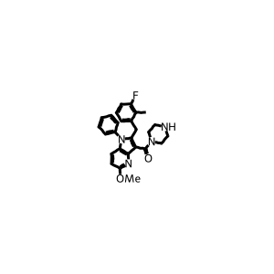 COc1ccc2c(n1)c(C(=O)N1CCNCC1)c(Cc1cccc(F)c1C)n2-c1ccccc1